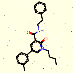 CCCCn1cc(-c2cccc(C)c2)cc(C(=O)NCCc2ccccc2)c1=O